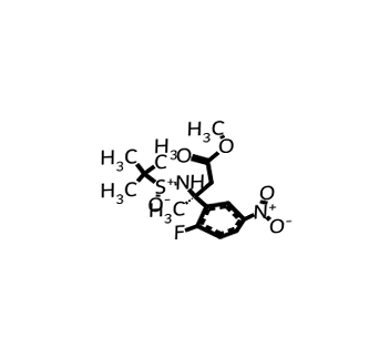 COC(=O)C[C@](C)(N[S+]([O-])C(C)(C)C)c1cc([N+](=O)[O-])ccc1F